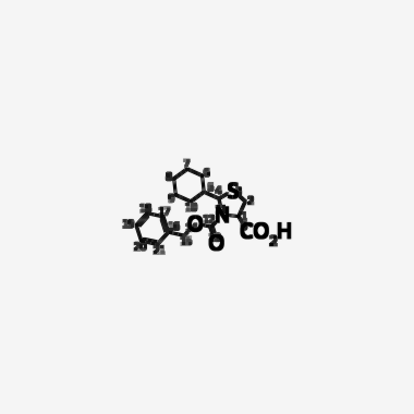 O=C(O)C1CSC(C2CCCCC2)N1C(=O)OCc1ccccc1